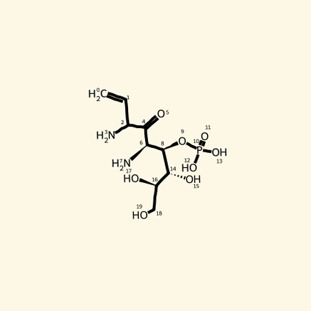 C=CC(N)C(=O)[C@H](N)[C@@H](OP(=O)(O)O)[C@H](O)[C@H](O)CO